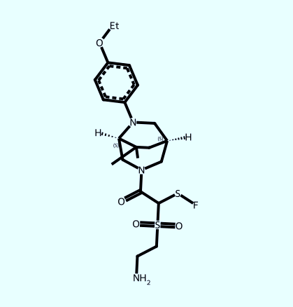 CCOc1ccc(N2C[C@H]3CN(C(=O)C(SF)S(=O)(=O)CCN)C[C@@H]2C(C)(C)C3)cc1